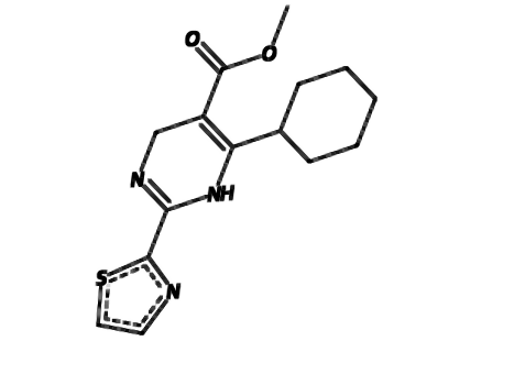 COC(=O)C1=C(C2CCCCC2)NC(c2nccs2)=NC1